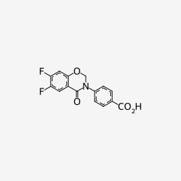 O=C(O)c1ccc(N2COc3cc(F)c(F)cc3C2=O)cc1